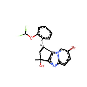 CC1(O)C[C@H](c2ccccc2OC(F)F)c2c1nc1ccc(Br)cn21